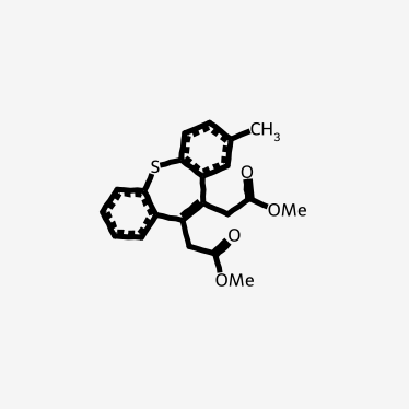 COC(=O)CC1=C(CC(=O)OC)c2cc(C)ccc2Sc2ccccc21